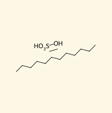 CC.CCCCCCCCCCCC.O=S(=O)(O)O